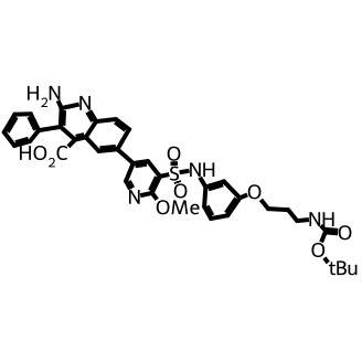 COc1ncc(-c2ccc3nc(N)c(-c4ccccc4)c(C(=O)O)c3c2)cc1S(=O)(=O)Nc1cccc(OCCCNC(=O)OC(C)(C)C)c1